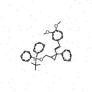 COc1ccc(C=CC2(c3ccccc3)CC2CO[Si](c2ccccc2)(c2ccccc2)C(C)(C)C)cc1OC